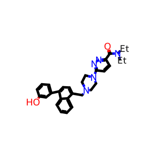 CCN(CC)C(=O)c1ccc(N2CCN(Cc3ccc(-c4cccc(O)c4)c4ccccc34)CC2)nn1